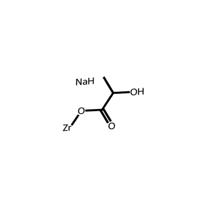 CC(O)C(=O)[O][Zr].[NaH]